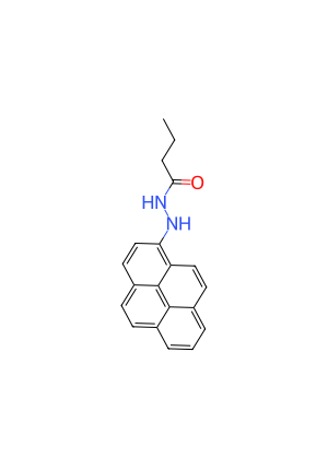 CCCC(=O)NNc1ccc2ccc3cccc4ccc1c2c34